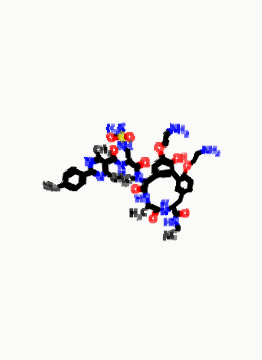 Cc1nc(-c2ccc(C(C)(C)C)cc2)nc(C)c1C(=O)NC(CNS(N)(=O)=O)C(=O)N(C)C1C(=O)NC(C)C(=O)NC(C(=O)NCC#N)Cc2ccc(OCCN)c(c2)-c2cc1cc(OCCN)c2O